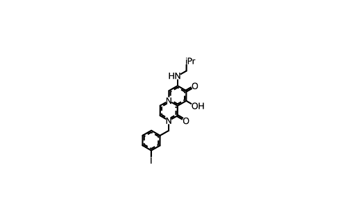 CC(C)CNc1cn2ccn(Cc3cccc(I)c3)c(=O)c2c(O)c1=O